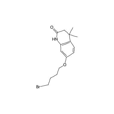 CC1(C)CC(=O)Nc2cc(OCCCCBr)ccc21